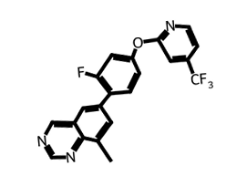 Cc1cc(-c2ccc(Oc3cc(C(F)(F)F)ccn3)cc2F)cc2cncnc12